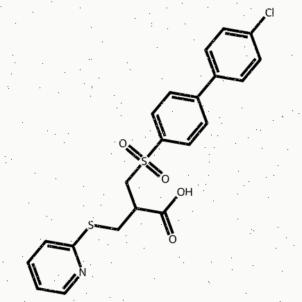 O=C(O)C(CSc1ccccn1)CS(=O)(=O)c1ccc(-c2ccc(Cl)cc2)cc1